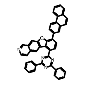 c1ccc(-c2nc(-c3ccccc3)nc(-c3ccc(-c4ccc5c(ccc6ccccc65)c4)c4oc5cc6cnccc6cc5c34)n2)cc1